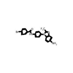 Nc1ccc2c(c1)nc(C(F)(F)F)n2-c1ccc(NC(=O)c2ccc(Br)cc2)cc1